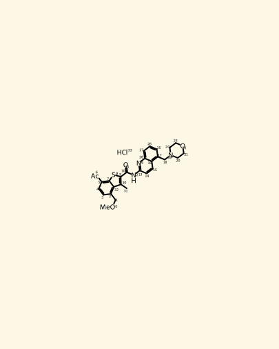 COCc1ccc(C(C)=O)c2sc(C(=O)Nc3ccc4c(CN5CCOCC5)cccc4n3)c(C)c12.Cl